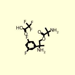 CC(C)(N)C(=O)OCC(C)(N)c1cc(F)cc(F)c1.O=C(O)C(F)(F)F